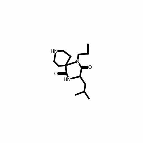 CCCN1C(=O)C(CC(C)C)NC(=O)C12CCNCC2